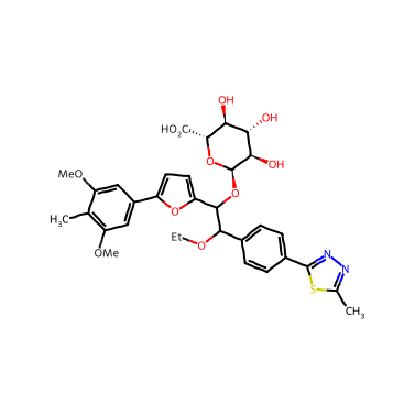 CCOC(c1ccc(-c2nnc(C)s2)cc1)C(O[C@H]1O[C@H](C(=O)O)[C@@H](O)[C@H](O)[C@H]1O)c1ccc(-c2cc(OC)c(C)c(OC)c2)o1